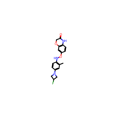 Cc1cc(N2CC(F)C2)ccc1NOc1ccc2c(c1)OCC(=O)N2